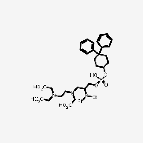 CCN(CC)C(COP(=O)(O)OC1CCC(c2ccccc2)(c2ccccc2)CC1)CN(CCN(CC(=O)O)CC(=O)O)CC(=O)O